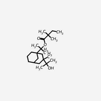 CCC(C)(C)C(=O)OC(C)(C)C12CCCC(CC(C)(C(C)(C)O)C1)C2